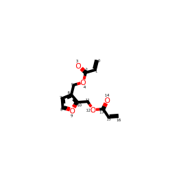 C=CC(=O)OCc1ccoc1COC(=O)C=C